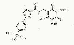 CCCCC[C@@H](C(=O)NCNC(=O)c1ccc(-c2ccc(C(C)(C)C(=O)O)cc2)o1)[C@@H](CC)N(C=O)OCCCC